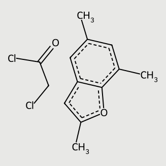 Cc1cc(C)c2oc(C)cc2c1.O=C(Cl)CCl